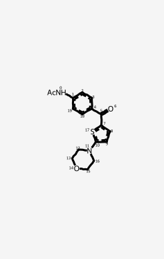 CC(=O)Nc1ccc(C(=O)c2ccc(N3CCOCC3)s2)cc1